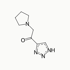 O=C(CN1CCCC1)c1c[nH]nn1